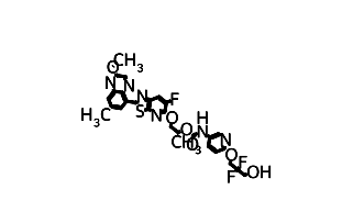 COc1cnc2c(-c3nc4cc(F)c(OC[C@@H](C)OC(=O)Nc5ccc(OCC(F)(F)CO)nc5)nc4s3)cc(C)cc2n1